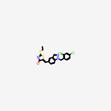 CCSC1=NC(=O)C(=Cc2ccc3c(cnn3Cc3ccc(Cl)cc3Cl)c2)S1